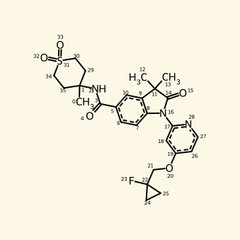 CC1(NC(=O)c2ccc3c(c2)C(C)(C)C(=O)N3c2cc(OCC3(F)CC3)ccn2)CCS(=O)(=O)CC1